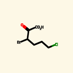 CCC(CCCCl)C(=O)C(=O)O